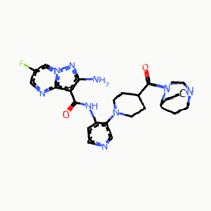 Nc1nn2cc(F)cnc2c1C(=O)Nc1ccncc1N1CCC(C(=O)N2CCN3CCC2CC3)CC1